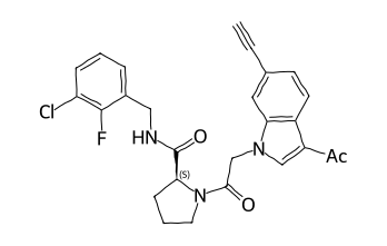 C#Cc1ccc2c(C(C)=O)cn(CC(=O)N3CCC[C@H]3C(=O)NCc3cccc(Cl)c3F)c2c1